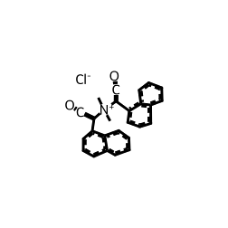 C[N+](C)(C(=C=O)c1cccc2ccccc12)C(=C=O)c1cccc2ccccc12.[Cl-]